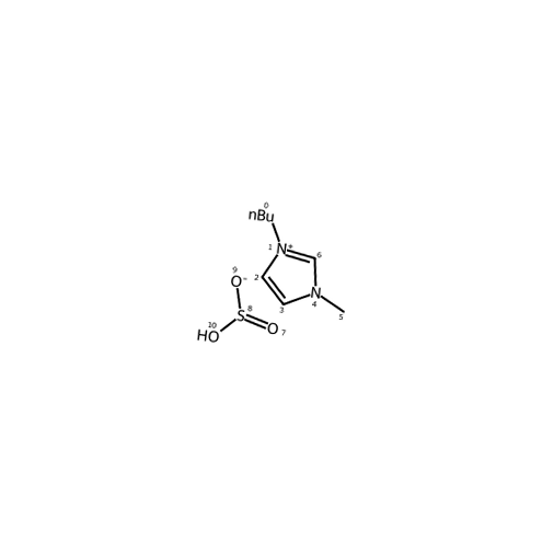 CCCC[n+]1ccn(C)c1.O=S([O-])O